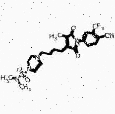 CC1=C(CCCCN2CCN(S(=O)(=O)N(C)C)CC2)C(=O)N(c2ccc(C#N)c(C(F)(F)F)c2)C1=O